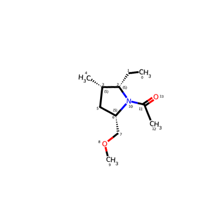 CC[C@H]1[C@@H](C)C[C@@H](COC)N1C(C)=O